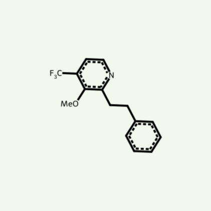 COc1c(C(F)(F)F)ccnc1CCc1ccccc1